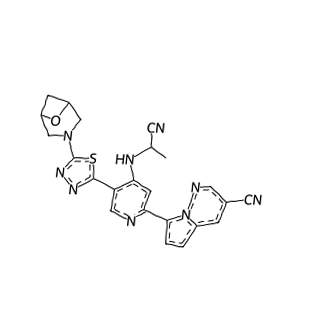 CC(C#N)Nc1cc(-c2ccc3cc(C#N)cnn23)ncc1-c1nnc(N2CC3CC(C2)O3)s1